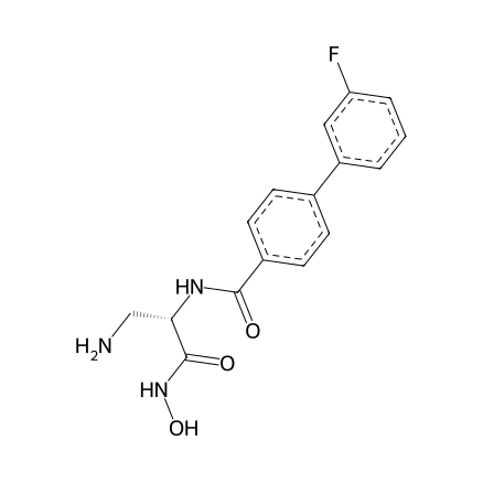 NC[C@H](NC(=O)c1ccc(-c2cccc(F)c2)cc1)C(=O)NO